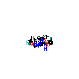 C[C@@H]1CN(c2nc(-n3ccc(OCC4(C(F)(F)F)CC4)n3)ccc2C(=O)NS(=O)(=O)c2cccc(F)c2)C(C)(C)C1